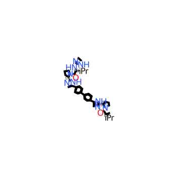 CC(C)[C@H](C)C(=O)N1CCC[C@H]1c1ncc(-c2ccc(-c3ccc(-c4cnc([C@@H]5CCCN5C(=O)[C@@H](NC5=NCCN5)C(C)C)[nH]4)cc3)cc2)[nH]1